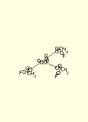 C=C(C(=O)OCCCCCCC(=O)OCC(COC(=O)CCCCCCOC(=O)C(=C)c1ccc(F)cc1)OC(=O)CCCCCCOC(=O)C(=C)c1ccc(F)cc1)c1ccc(F)cc1